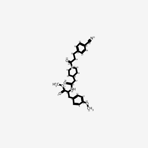 COC(=O)C(Cc1ccc(OC)cc1)NC(=O)CC1CCN(C(=O)CCc2ccc(C#N)cc2)CC1